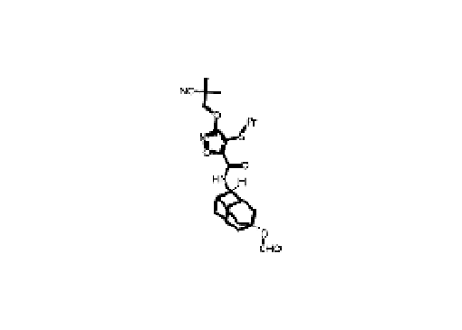 CC(C)Sc1c(OCC(C)(C)C#N)noc1C(=O)N[C@H]1C2CC3CC1C[C@](OC=O)(C3)C2